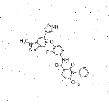 Cc1ccc(C(=O)Nc2ccc(Oc3cc4cnn(C)c4cc3-c3cn[nH]c3)c(F)c2)c(=O)n1-c1ccccc1